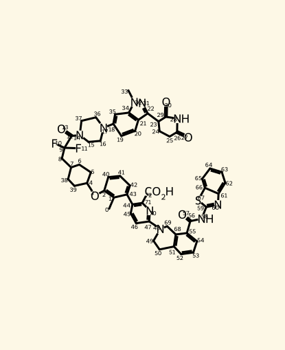 Cc1c(OC2CCC(CC(F)(F)C(=O)N3CCN(c4ccc5c(C6CCC(=O)NC6=O)nn(C)c5c4)CC3)CC2)cccc1-c1ccc(N2CCc3cccc(C(=O)Nc4nc5ccccc5s4)c3C2)nc1C(=O)O